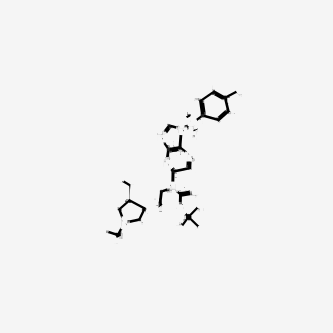 CC[C@@H]1CN(C(=O)O)C[C@H]1C(=O)CN(C(=O)OC(C)(C)C)c1cnc2c(ncn2S(=O)(=O)c2ccc(C)cc2)n1